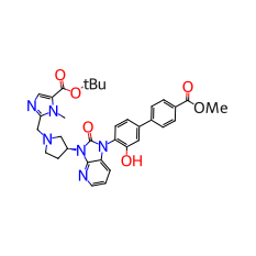 COC(=O)c1ccc(-c2ccc(-n3c(=O)n([C@H]4CCN(Cc5ncc(C(=O)OC(C)(C)C)n5C)C4)c4ncccc43)c(O)c2)cc1